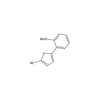 COc1ccccc1-c1ccc(C#N)s1